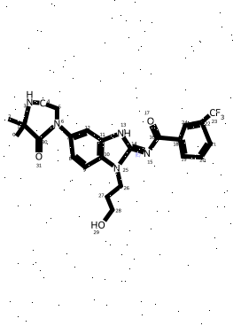 CC1(C)NCCN(c2ccc3c(c2)[nH]/c(=N\C(=O)c2cccc(C(F)(F)F)c2)n3CCCO)C1=O